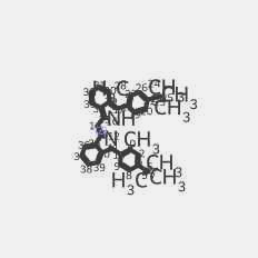 Cc1cc(C(C)(C)C)ccc1C1=N/C(=C\c2[nH]c(-c3ccc(C(C)(C)C)cc3C)c3ccccc23)c2ccccc21